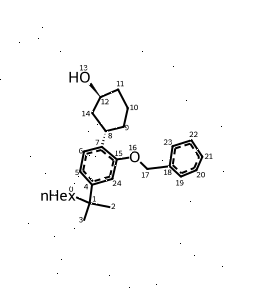 CCCCCCC(C)(C)c1ccc([C@H]2CCC[C@H](O)C2)c(OCc2ccccc2)c1